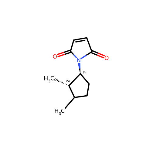 CC1CC[C@H](N2C(=O)C=CC2=O)[C@H]1C